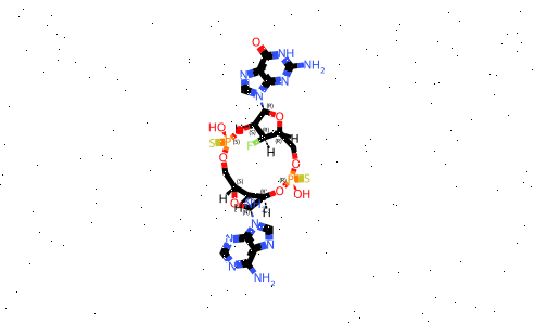 Nc1nc2c(ncn2[C@@H]2O[C@@H]3CO[P@@](O)(=S)O[C@@H]4[C@H](N)[C@@H](CO[P@](O)(=S)O[C@@H]2[C@@H]3F)O[C@H]4n2cnc3c(N)ncnc32)c(=O)[nH]1